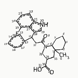 CC12CCCCC1N(C(=O)CC(c1ccccc1)c1c[nH]c3cccc(F)c13)CC(C(=O)O)C2